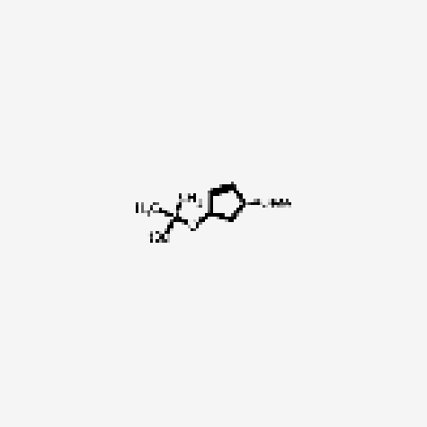 CO[C@@H]1C=CC(O[Si](C)(C)C(C)(C)C)C1